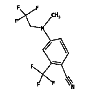 CN(CC(F)(F)F)c1ccc(C#N)c(C(F)(F)F)c1